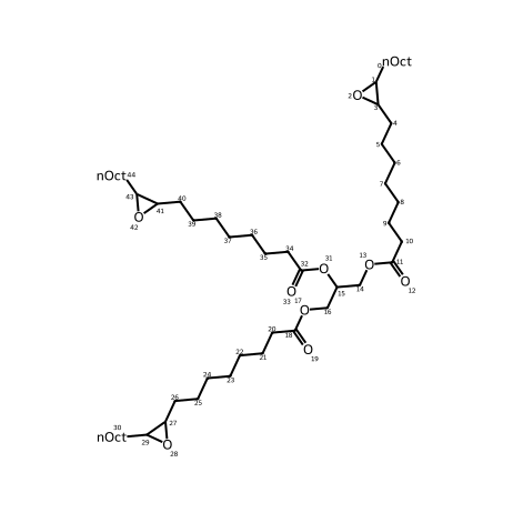 CCCCCCCCC1OC1CCCCCCCC(=O)OCC(COC(=O)CCCCCCCC1OC1CCCCCCCC)OC(=O)CCCCCCCC1OC1CCCCCCCC